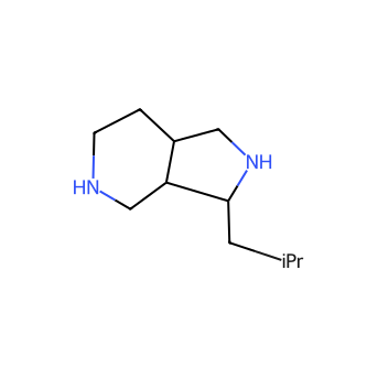 CC(C)CC1NCC2CCNCC21